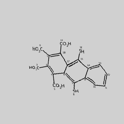 O=C(O)c1c(C(=O)O)c(C(=O)O)c2c(S)c3ccccc3c(S)c2c1C(=O)O